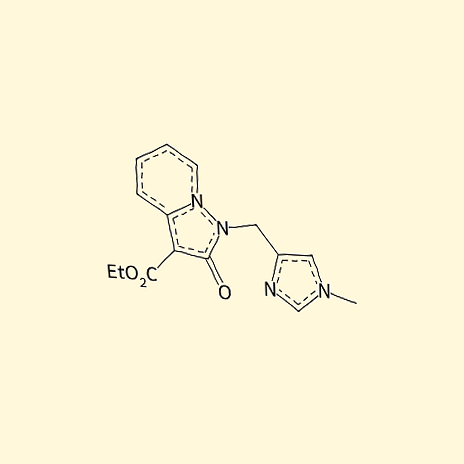 CCOC(=O)c1c(=O)n(Cc2cn(C)cn2)n2ccccc12